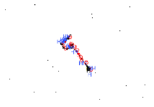 C=CC(=O)Nc1cccc(Nc2nc(Nc3cccc(OCC(C)(C)COCC(C)(C)Cn4nnc5c4CCN(C(=O)CCCC(=O)NCCCOCCOCCOCCCNC(=O)CCCC[C@@H]4SC[C@@H]6NC(=O)N[C@@H]64)C[C@H](OC)[C@H]5OC)c3)ncc2C)c1